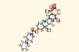 CCc1c2c(nc3ccc(OC(=O)N4CCC(N5CCCCC5)CC4)cc13)-c1cc3c(c(=O)n1C2)CCC(=O)[C@]3(O)CC